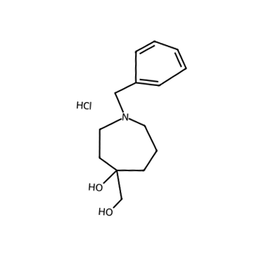 Cl.OCC1(O)CCCN(Cc2ccccc2)CC1